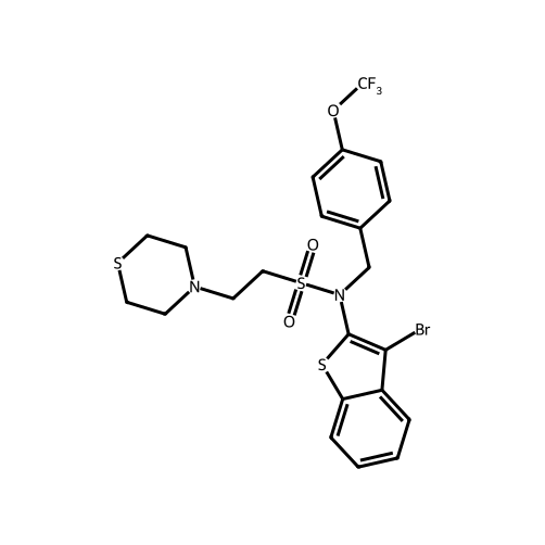 O=S(=O)(CCN1CCSCC1)N(Cc1ccc(OC(F)(F)F)cc1)c1sc2ccccc2c1Br